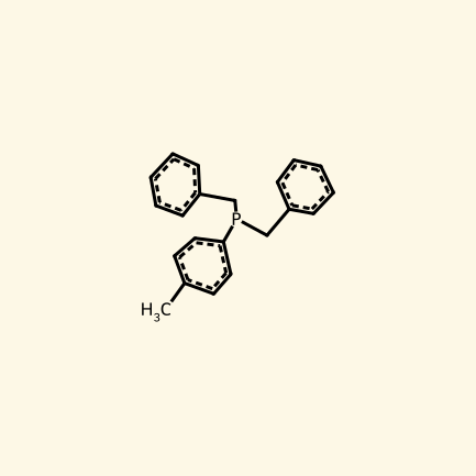 Cc1ccc(P(Cc2ccccc2)Cc2ccccc2)cc1